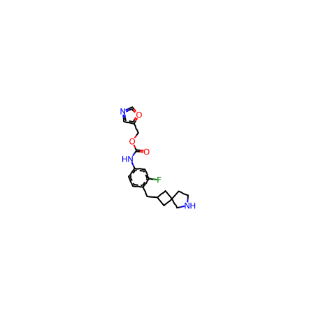 O=C(Nc1ccc(CC2CC3(CCNC3)C2)c(F)c1)OCc1cnco1